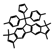 CC1=CC(C)(C)c2cc3c(cc21)-c1cc2c(cc1C3C(C1=CC=CC1)(c1ccc(C)cc1)c1ccc(C)cc1)C(C)(C)C=C2C